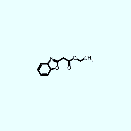 CCOC(=O)CC1=NC2C=CC=CC2O1